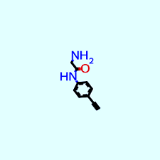 C#Cc1ccc(NC(=O)CN)cc1